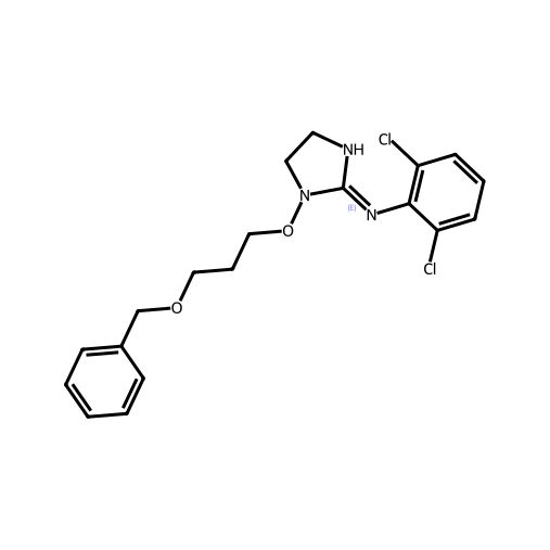 Clc1cccc(Cl)c1/N=C1\NCCN1OCCCOCc1ccccc1